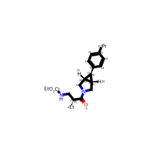 CCOC(=O)NC[C@@H](CC)C(=O)N1C[C@@H]2[C@H](C1)[C@H]2c1ccc(C(C)C)cc1